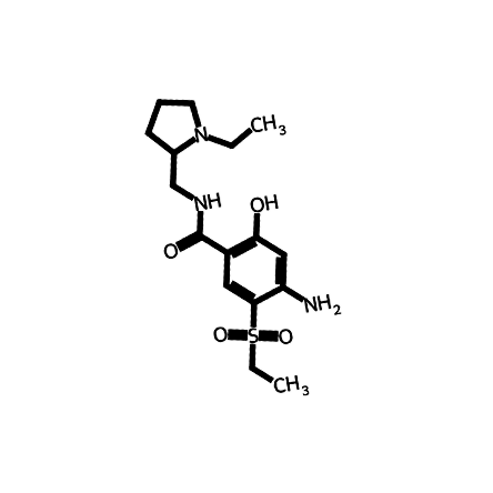 CCN1CCCC1CNC(=O)c1cc(S(=O)(=O)CC)c(N)cc1O